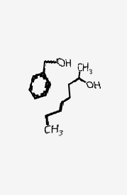 CCCCCCC(C)O.OCc1ccccc1